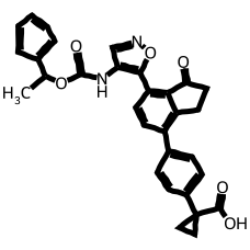 CC(OC(=O)Nc1cnoc1-c1ccc(-c2ccc(C3(C(=O)O)CC3)cc2)c2c1C(=O)CC2)c1ccccc1